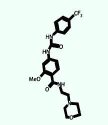 COc1cc(NC(=O)Nc2ccc(C(F)(F)F)cc2)ccc1C(=O)NCCN1CCOCC1